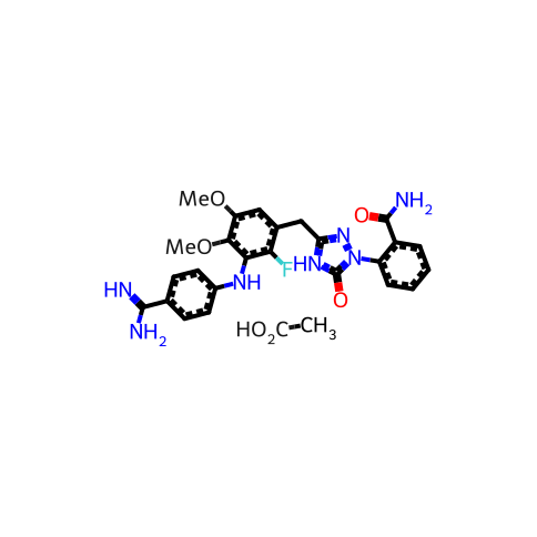 CC(=O)O.COc1cc(Cc2nn(-c3ccccc3C(N)=O)c(=O)[nH]2)c(F)c(Nc2ccc(C(=N)N)cc2)c1OC